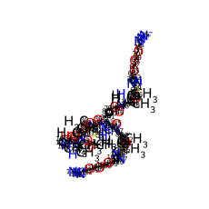 CCCC(=O)OCN(C(O)[C@H](NC(=O)[C@@H]1CCCCN1C)C(C)CC)[C@@H](C[C@H](OC(C)=O)c1nc(C(=O)N[C@H](Cc2ccc(OC(=O)NCCC[Si](C)(C)O[Si](C)(C)CSc3ncc(COCCOCCOCCN=[N+]=[N-])cn3)cc2)C[C@@H](C)C(=O)NCCC[Si](C)(C)O[Si](C)(C)CSc2ncc(COCCOCCOCCN=[N+]=[N-])cn2)cs1)C(C)C